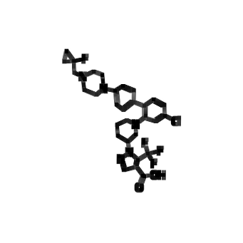 O=C(O)c1cnn(C2CCCN(c3cc(Cl)ccc3-c3ccc(N4CCN(CC5(F)CC5)CC4)cc3)C2)c1C(F)(F)F